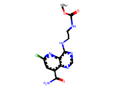 CC(C)(C)OC(=O)NCCNc1ncnc2c(C(N)=O)cc(Cl)nc12